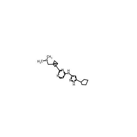 CN(C)CC12CC(C1)N(c1nccc(Nc3cc(C4CCCC4)[nH]n3)n1)C2